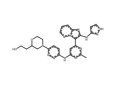 Cc1nc(Nc2ccc(N3CCOC(CCO)C3)nn2)cc(-c2c(Nc3cc[nH]n3)nc3cccnn23)n1